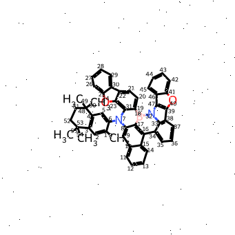 Cc1cc2c(cc1N1c3cc4ccccc4c4c3B(c3ccc5c(oc6ccccc65)c31)n1c3c-4cccc3c3oc4ccccc4c31)C(C)(C)CCC2(C)C